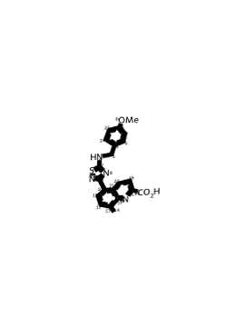 COc1ccc(CNc2nc(-c3ccc(C)c4nc(C(=O)O)ccc34)ns2)cc1